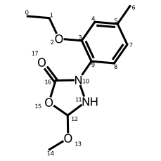 CCOc1cc(C)ccc1N1NC(OC)OC1=O